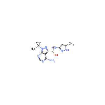 Cc1cc(NC(O)c2nn(C3(C)CC3)c3ncnc(N)c23)n[nH]1